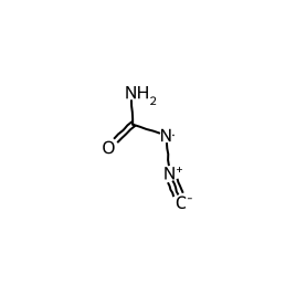 [C-]#[N+][N]C(N)=O